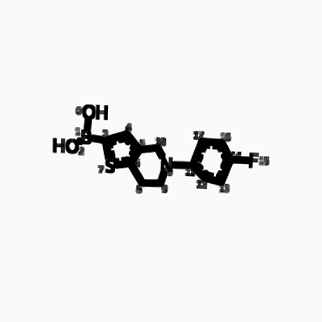 OB(O)c1cc2c(s1)CCN(c1ccc(F)cc1)C2